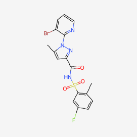 Cc1ccc(F)cc1S(=O)(=O)NC(=O)c1cc(C)n(-c2ncccc2Br)n1